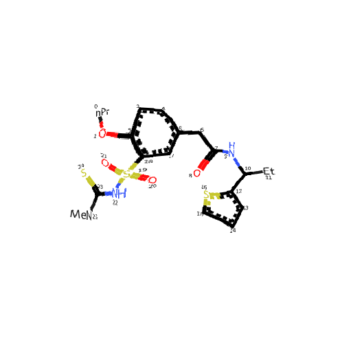 CCCOc1ccc(CC(=O)NC(CC)c2cccs2)cc1S(=O)(=O)NC(=S)NC